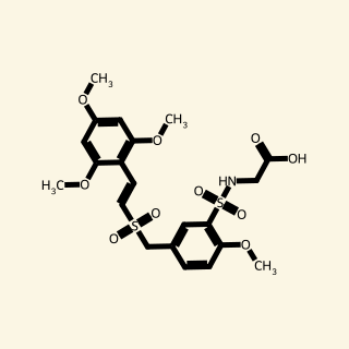 COc1cc(OC)c(C=CS(=O)(=O)Cc2ccc(OC)c(S(=O)(=O)NCC(=O)O)c2)c(OC)c1